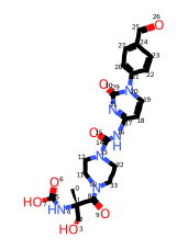 C[C@@](CO)(NC(=O)O)C(=O)N1CCN(C(=O)Nc2ccn(-c3ccc(C=O)cc3)c(=O)n2)CC1